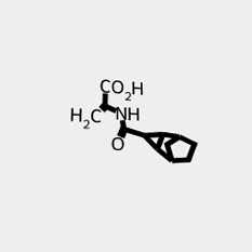 C=C(NC(=O)C1C2C3CCC(C3)C12)C(=O)O